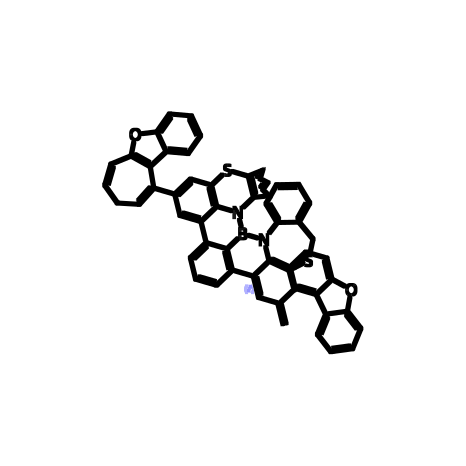 C=C(/C=C1\C2=C(C)SCc3ccccc3N2B2c3c1cccc3-c1cc(C3=CCC=Cc4oc5ccccc5c43)cc3c1N2C1=C(C=CC=CC1)S3)c1cccc2oc3ccccc3c12